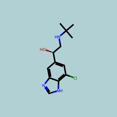 CC(C)(C)NC[C@H](O)c1cc(Cl)c2[nH]cnc2c1